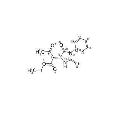 CCOC(=O)C(C(C)=O)=C1NC(=O)N(c2ccccc2)C1=O